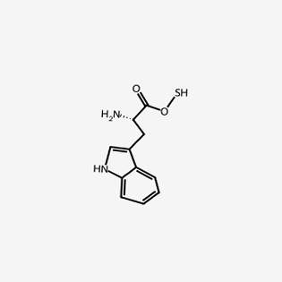 N[C@@H](Cc1c[nH]c2ccccc12)C(=O)OS